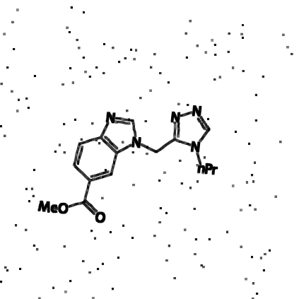 CCCn1cnnc1Cn1cnc2ccc(C(=O)OC)cc21